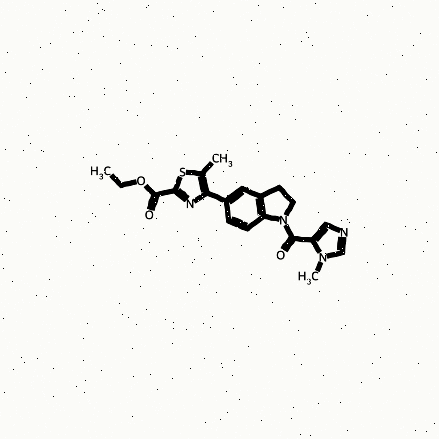 CCOC(=O)c1nc(-c2ccc3c(c2)CCN3C(=O)c2cncn2C)c(C)s1